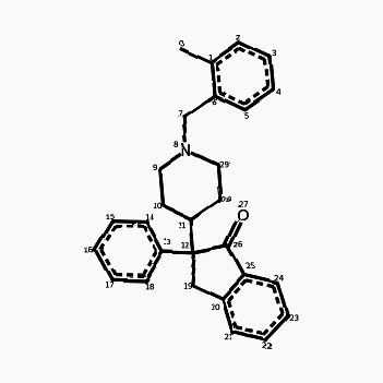 Cc1ccccc1CN1CCC(C2(c3ccccc3)Cc3ccccc3C2=O)CC1